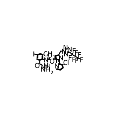 Cc1cc(I)cc(C(=O)NN)c1NC(=O)Oc1cc(Cn2nnc(C(F)(F)C(F)(F)C(F)(F)F)n2)nn1-c1ncccc1Cl